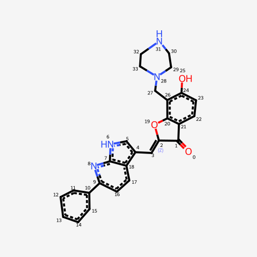 O=C1/C(=C/c2c[nH]c3nc(-c4ccccc4)ccc23)Oc2c1ccc(O)c2CN1CCNCC1